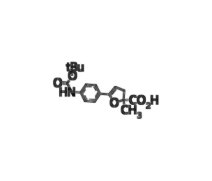 CC(C)(C)OC(=O)Nc1ccc(C2=CCC(C)(C(=O)O)O2)cc1